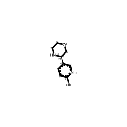 Brc1ccc([C@@H]2COCCN2)cn1